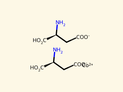 N[C@@H](CC(=O)[O-])C(=O)O.N[C@@H](CC(=O)[O-])C(=O)O.[Co+2]